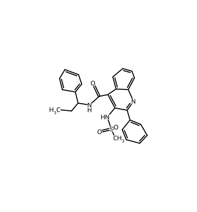 CCC(NC(=O)c1c(NS(C)(=O)=O)c(-c2ccccc2)nc2ccccc12)c1ccccc1